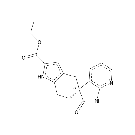 CCOC(=O)c1cc2c([nH]1)CC[C@@]1(C2)C(=O)Nc2ncccc21